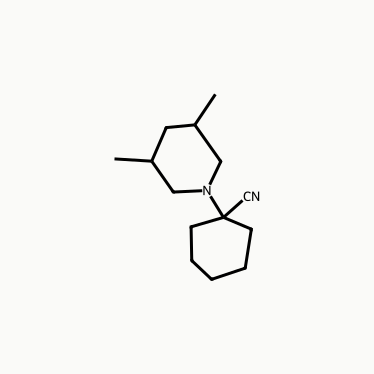 CC1CC(C)CN(C2(C#N)CCCCC2)C1